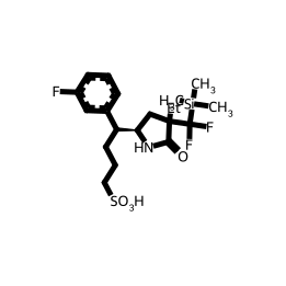 CCC1(C(F)(F)[Si](C)(C)C)C[C@H](C(CCCS(=O)(=O)O)c2cccc(F)c2)NC1=O